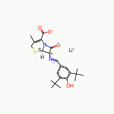 CC1=C(C(=O)[O-])N2C(=O)[C@@H](/N=C/c3cc(C(C)(C)C)c(O)c(C(C)(C)C)c3)[C@H]2SC1.[Li+]